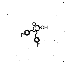 O=C1C=C(O)CC(CCc2ccc(F)cc2)(CCc2ccc(F)cc2)O1